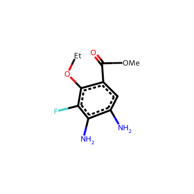 CCOc1c(C(=O)OC)cc(N)c(N)c1F